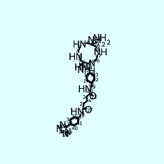 NCC1(N)CNCCNCC(CN)(NCc2ccc(CNC(=O)CCCC(=O)NCc3ccc(-c4nncnn4)cc3)cc2)CNCCNC1